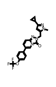 Cn1nc(C2CC2)cc1Cn1nc2ccc(-c3ccc(OC(F)(F)F)cc3)cn2c1=O